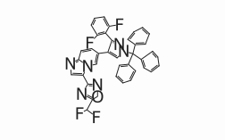 Fc1cccc(F)c1-c1nn(C(c2ccccc2)(c2ccccc2)c2ccccc2)cc1-c1ccc2ncc(-c3noc(C(F)F)n3)n2c1